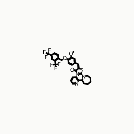 COc1cc(/C=C2/SC(N3CCCCCC3c3ccccn3)=NC2=O)ccc1OCc1ccc(C(F)(F)F)cc1C(F)(F)F